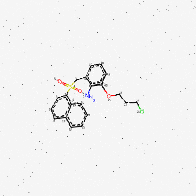 Nc1c(CS(=O)(=O)c2cccc3ccccc23)cccc1OCCCCl